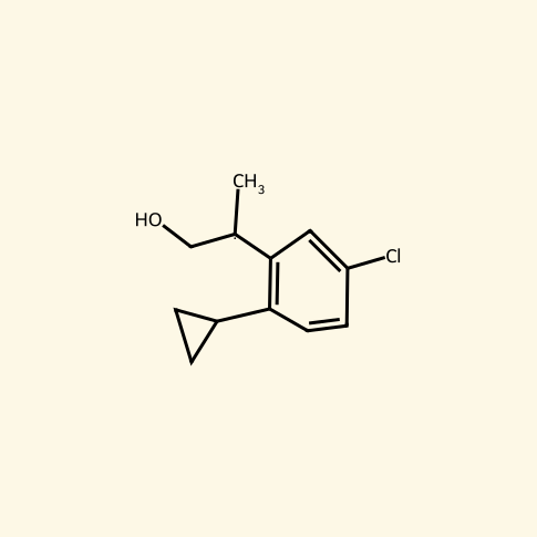 C[C](CO)c1cc(Cl)ccc1C1CC1